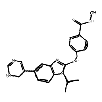 CC(C)n1c(Nc2ccc(C(=O)NO)cc2)nc2cc(C3=CN=CNC3)ccc21